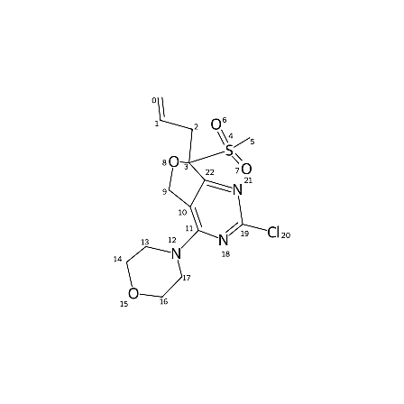 C=CCC1(S(C)(=O)=O)OCc2c(N3CCOCC3)nc(Cl)nc21